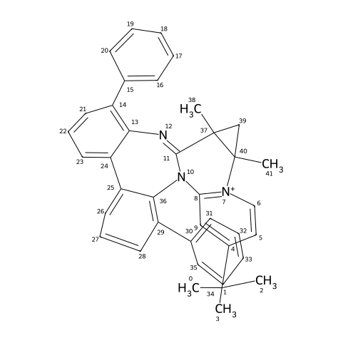 CC(C)(C)c1cc[n+]2c(c1)N1C(=Nc3c(-c4ccccc4)cccc3-c3cccc(-c4ccccc4)c31)C1(C)CC21C